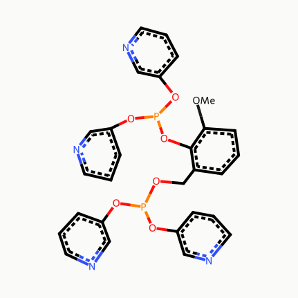 COc1cccc(COP(Oc2cccnc2)Oc2cccnc2)c1OP(Oc1cccnc1)Oc1cccnc1